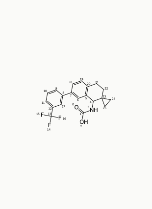 O=C(O)NC1c2cc(-c3cccc(C(F)(F)F)c3)ccc2CCC12CC2